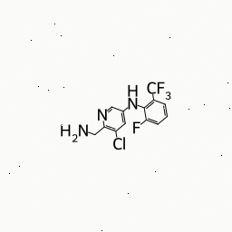 NCc1ncc(Nc2c(F)cccc2C(F)(F)F)cc1Cl